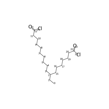 CCC(CCCCCCCCCC(=O)Cl)CCCCCCC(=O)Cl